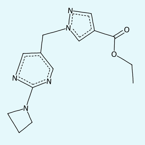 CCOC(=O)c1cnn(Cc2cnc(N3CCC3)nc2)c1